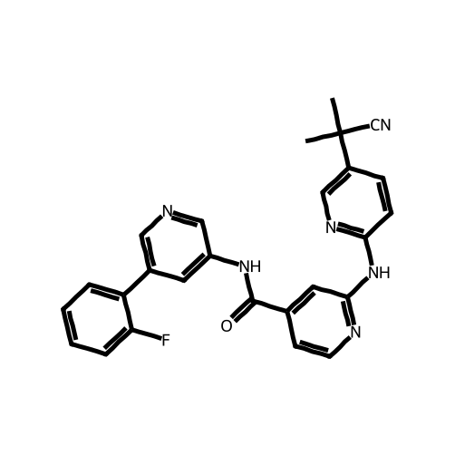 CC(C)(C#N)c1ccc(Nc2cc(C(=O)Nc3cncc(-c4ccccc4F)c3)ccn2)nc1